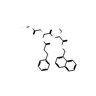 CCCCOC(=O)C[C@H](NC(=O)CCc1ccccc1)C(=O)N[C@@H](COC)C(=O)NCc1cccc2ccccc12